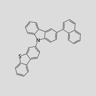 c1ccc2c(-c3ccc4c(c3)c3ccccc3n4-c3ccc4c(c3)sc3ccccc34)cccc2c1